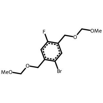 COCOCc1cc(Br)c(COCOC)cc1F